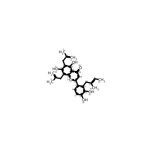 C=C(C)Cc1c(O)c(CC(=C)C)c2oc(-c3ccc(O)c(O)c3C/C(C)=C/C)cc(=O)c2c1O